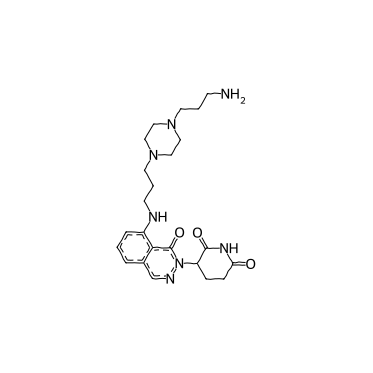 NCCCN1CCN(CCCNc2cccc3cnn(C4CCC(=O)NC4=O)c(=O)c23)CC1